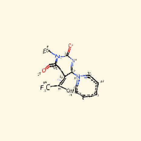 CCN1C(=O)N=C([n+]2ccccc2)/C(=C(\OC)C(F)(F)F)C1=O